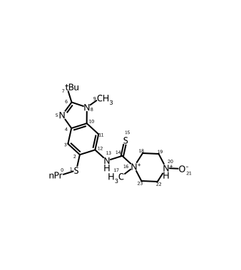 CCCSc1cc2nc(C(C)(C)C)n(C)c2cc1NC(=S)[N+]1(C)CC[NH+]([O-])CC1